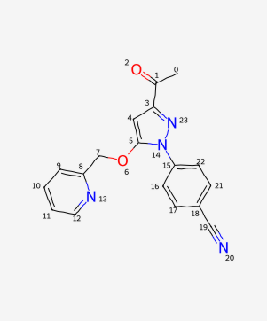 CC(=O)c1cc(OCc2ccccn2)n(-c2ccc(C#N)cc2)n1